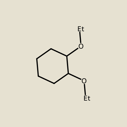 [CH2]COC1CCCCC1OC[CH2]